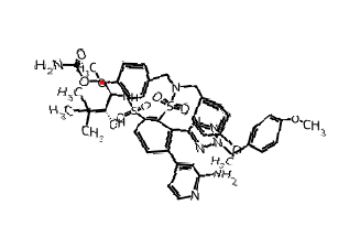 COc1ccc(CN(Cc2ccc(OC)cc2)S(=O)(=O)c2c(S(=O)(=O)N[C@H](COC(N)=O)[C@H](O)C(C)(C)C)ccc(-c3ccnc(N)c3)c2-c2nnn(Cc3ccc(OC)cc3)n2)cc1